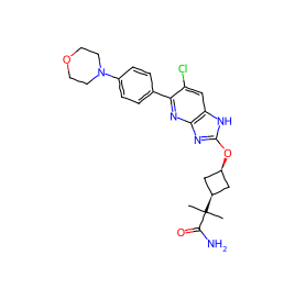 CC(C)(C(N)=O)[C@H]1C[C@@H](Oc2nc3nc(-c4ccc(N5CCOCC5)cc4)c(Cl)cc3[nH]2)C1